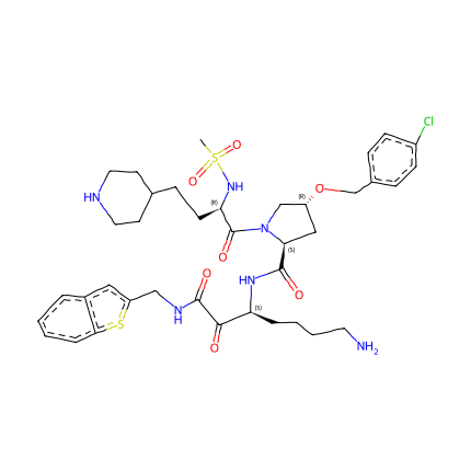 CS(=O)(=O)N[C@H](CCC1CCNCC1)C(=O)N1C[C@H](OCc2ccc(Cl)cc2)C[C@H]1C(=O)N[C@@H](CCCCN)C(=O)C(=O)NCc1cc2ccccc2s1